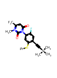 CC(C)Sc1cc(-n2c(=O)cc(C(F)(F)F)n(C)c2=O)c(F)cc1C#C[Si](C)(C)C